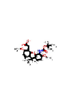 COc1cc(C)c2c(c1CC(=O)O)Oc1c(ccc(OC)c1NC(=O)OC(C)(C)C)C2(C)C